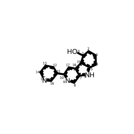 Oc1cccc2[nH]c3cnc(-c4cccnc4)cc3c12